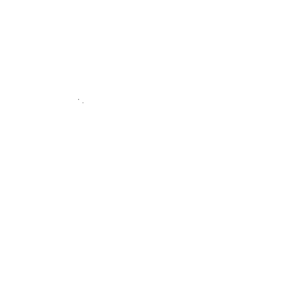 C=CCC(C)(C#N)CC(C)=CC